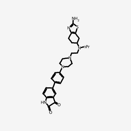 CCCN(CCN1CCN(c2ccc(-c3ccc4c(c3)C(=O)C(=O)N4)cc2)CC1)C1CCc2nc(N)sc2C1